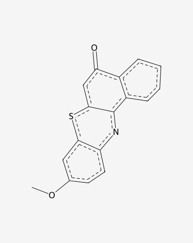 COc1ccc2nc3c4ccccc4c(=O)cc-3sc2c1